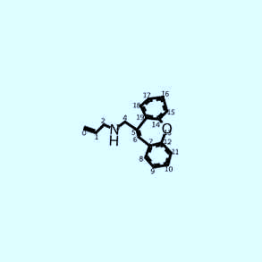 C=CCNCC1=Cc2ccccc2Oc2ccccc21